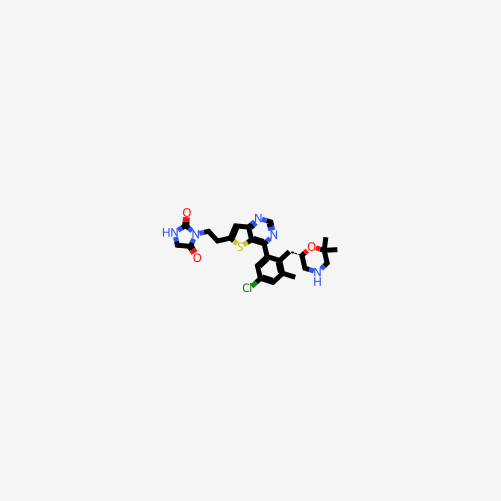 Cc1cc(Cl)cc(-c2ncnc3cc(CCN4C(=O)CNC4=O)sc23)c1C[C@H]1CNCC(C)(C)O1